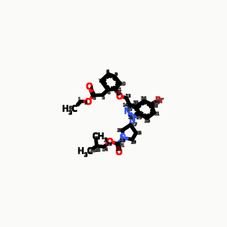 CCOC(=O)Cc1ccccc1OCc1nn(C2CCN(C(=O)OCC(C)C)C2)c2ccc(Br)cc12